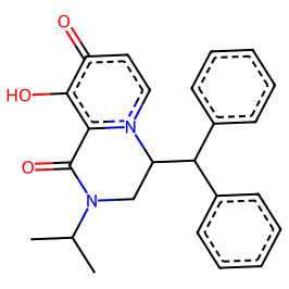 CC(C)N1CC(C(c2ccccc2)c2ccccc2)n2ccc(=O)c(O)c2C1=O